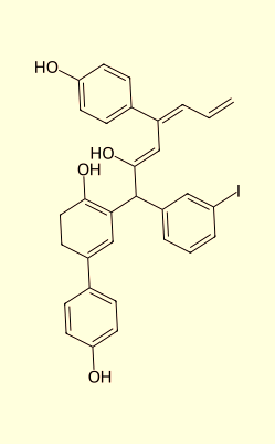 C=C/C=C(\C=C(/O)C(C1=C(O)CCC(c2ccc(O)cc2)=C1)c1cccc(I)c1)c1ccc(O)cc1